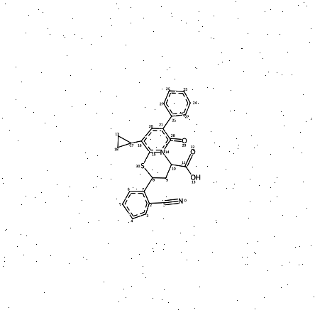 N#Cc1ccccc1C1CC(C(=O)O)n2c(c(C3CC3)cc(-c3ccccc3)c2=O)S1